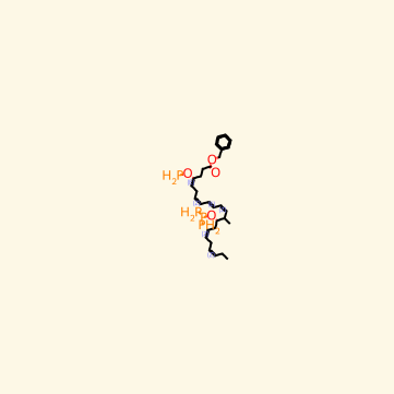 CC/C=C\C/C=C\CC(OP(P)P)C(C)\C=C/C=C/C=C\C/C=C(\CCC(=O)OCc1ccccc1)OP